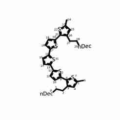 CCCCCCCCCCCCc1cc(C)sc1-c1ccc(-c2ccc(-c3ccc(-c4sc(C)cc4CCCCCCCCCCCC)s3)s2)s1